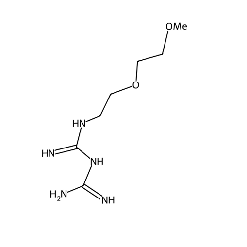 COCCOCCNC(=N)NC(=N)N